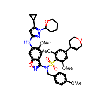 COc1ccc(CN(c2noc3cc(Nc4cc(C5CC5)n(C5CCCCO5)n4)c(OC)cc23)S(=O)(=O)c2c(OC)cc(C3=CCOCC3)cc2OC)cc1